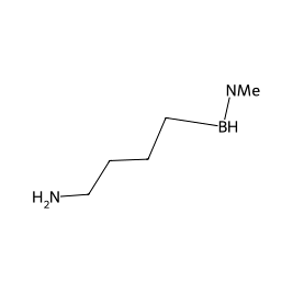 CNBCCCCN